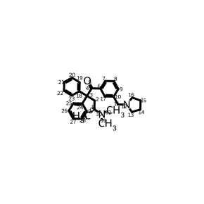 C[C@@H](CC(C(=O)c1cccc(CN2CCCC2)c1)(c1ccccc1)c1ccccc1)N(C)C